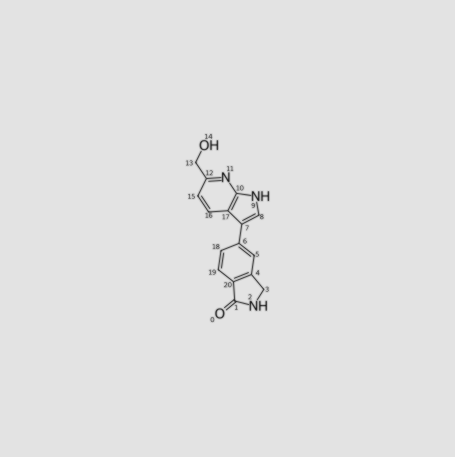 O=C1NCc2cc(-c3c[nH]c4nc(CO)ccc34)ccc21